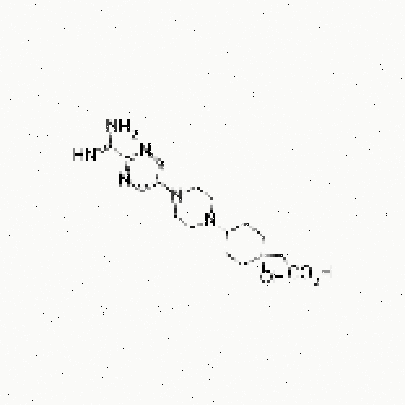 N=C(N)c1ncc(N2CCN([C@H]3CC[C@@](O)(CC(=O)O)CC3)CC2)cn1